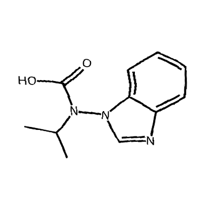 CC(C)N(C(=O)O)n1cnc2ccccc21